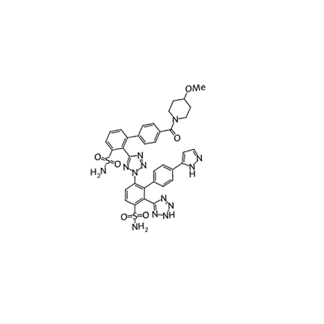 COC1CCN(C(=O)c2ccc(-c3cccc(S(N)(=O)=O)c3-c3nnn(-c4ccc(S(N)(=O)=O)c(-c5nn[nH]n5)c4-c4ccc(-c5ccn[nH]5)cc4)n3)cc2)CC1